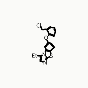 CCc1cnc2sc3ccc(Oc4ccccc4CCl)cc3n12